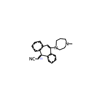 CN1CCCN(C2=Cc3ccccc3/C(=C\C#N)c3ccccc32)CC1